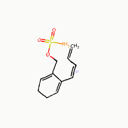 C=C/C=C\C1=CCCC=C1COS(=O)(=O)P